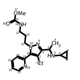 CCc1c(C(C)NC2CC2)nn(CCCNC(=O)OC)c1-c1ccccn1